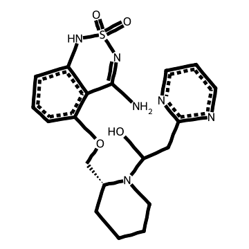 NC1=NS(=O)(=O)Nc2cccc(OC[C@H]3CCCCN3C(O)Cc3ncccn3)c21